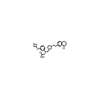 O=C(O)C[C@H](CN1CC[C@@H](CCc2ccc3c(n2)NCCC3)C1)c1cccc(OC2COC2)c1